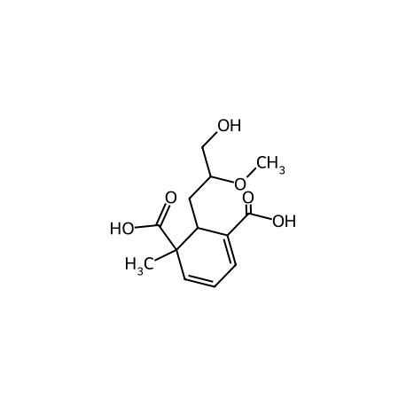 COC(CO)CC1C(C(=O)O)=CC=CC1(C)C(=O)O